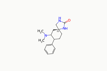 CN(C)C1C[C@@]2(CCC1c1ccccc1)CNC(=O)N2